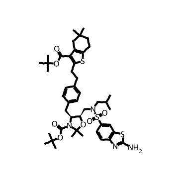 CC(C)CN(C[C@H]1OC(C)(C)N(C(=O)OC(C)(C)C)[C@H]1Cc1ccc(CCc2sc3c(c2C(=O)OC(C)(C)C)CC(C)(C)CC3)cc1)S(=O)(=O)c1ccc2nc(N)sc2c1